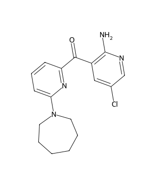 Nc1ncc(Cl)cc1C(=O)c1cccc(N2CCCCCC2)n1